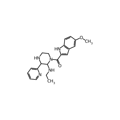 CCNC1C(c2ccccn2)NCCN1C(=O)c1cc2cc(OC)ccc2[nH]1